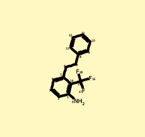 Nc1cccc(CCc2ccccc2)c1C(F)(F)F